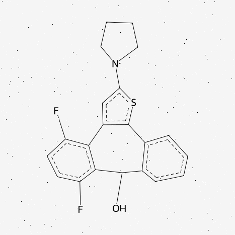 OC1c2ccccc2-c2sc(N3CCCC3)cc2-c2c(F)ccc(F)c21